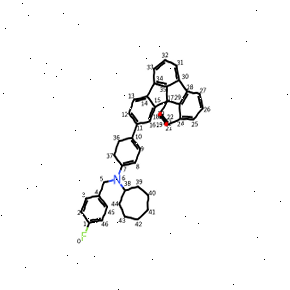 Fc1ccc(CN(C2=CC=C(c3ccc4c(c3)C35c6ccccc6-c6cccc(c63)-c3cccc-4c35)CC2)C2CCCCCC2)cc1